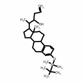 C=CCC(O)C(C)C1CCC2C3CCc4cc(O[Si](C)(C)C(C)(C)C)ccc4C3CCC12C